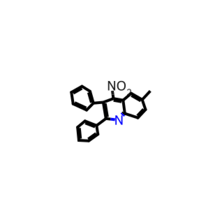 Cc1ccc2nc(-c3ccccc3)c(-c3ccccc3)c([N+](=O)[O-])c2c1